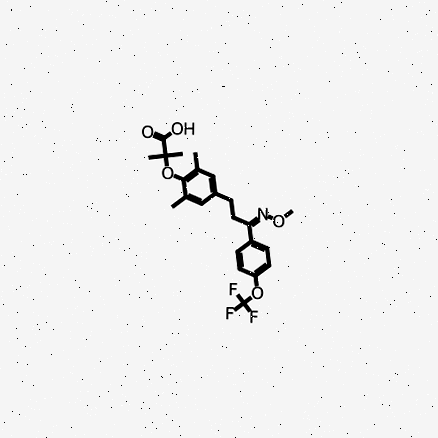 CON=C(CCc1cc(C)c(OC(C)(C)C(=O)O)c(C)c1)c1ccc(OC(F)(F)F)cc1